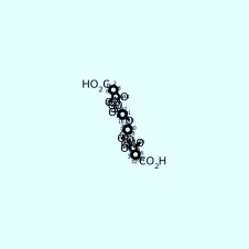 O=C(O)c1ccc2c(c1)C(=O)N(OS(=O)(=O)c1ccc(Oc3ccc(S(=O)(=O)ON4C(=O)c5ccc(C(=O)O)cc5C4=O)cc3)cc1)C2=O